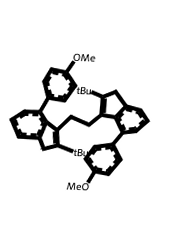 COc1ccc(-c2cccc3c2C(CCC2=C(C(C)(C)C)[CH]c4cccc(-c5ccc(OC)cc5)c42)=C(C(C)(C)C)[CH]3)cc1